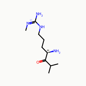 C/N=C(/N)NCCC[C@@H](N)C(=O)C(C)C